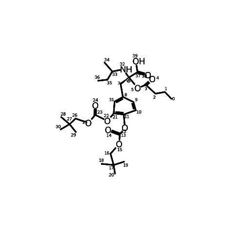 CCCC(=O)O[C@](Cc1ccc(OC(=O)OCC(C)(C)C)c(OC(=O)OCC(C)(C)C)c1)(NC(C)CC)C(=O)O